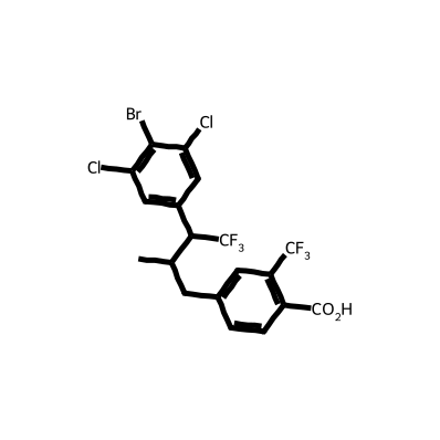 CC(Cc1ccc(C(=O)O)c(C(F)(F)F)c1)C(c1cc(Cl)c(Br)c(Cl)c1)C(F)(F)F